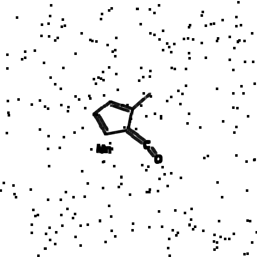 CC1=CC=CC1=C=O.[Mn]